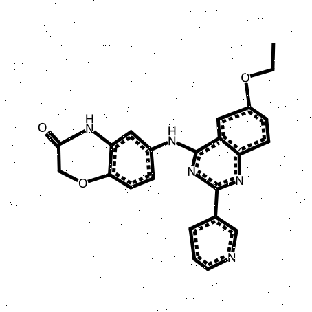 CCOc1ccc2nc(-c3cccnc3)nc(Nc3ccc4c(c3)NC(=O)CO4)c2c1